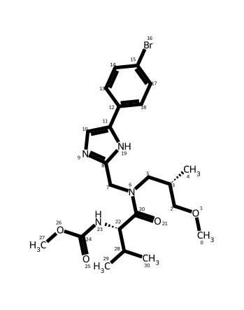 COC[C@@H](C)CN(Cc1ncc(-c2ccc(Br)cc2)[nH]1)C(=O)[C@@H](NC(=O)OC)C(C)C